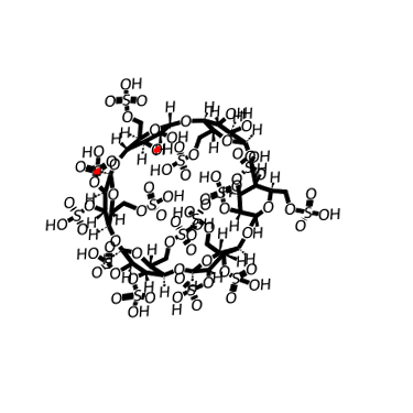 O=S(=O)(O)OC[C@H]1O[C@@H]2O[C@H]3[C@H](OS(=O)(=O)O)[C@@H](OS(=O)(=O)O)[C@@H](O[C@H]4[C@H](OS(=O)(=O)O)[C@@H](OS(=O)(=O)O)[C@@H](O[C@H]5[C@H](OS(=O)(=O)O)[C@@H](OS(=O)(=O)O)[C@@H](O[C@H]6[C@H](OS(=O)(=O)O)[C@@H](OS(=O)(=O)O)[C@@H](O[C@H]7[C@H](O)[C@@H](O)[C@@H](O[C@H]1[C@H](O)[C@H]2O)O[C@@H]7COS(=O)(=O)O)O[C@@H]6COS(=O)(=O)O)O[C@@H]5COS(=O)(=O)O)O[C@@H]4COS(=O)(=O)O)O[C@@H]3COS(=O)(=O)O